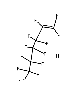 FC(F)=C(F)C(F)(F)C(F)(F)C(F)(F)C(F)(F)C(F)(F)F.[H+]